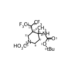 CC(C)(C)OC(=O)NC1(C)CCN(C(=O)O)CC1C(C(F)(F)F)C(F)(F)F